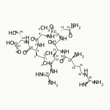 CC(C)C[C@H](NC(=O)[C@H](C)NC(=O)[C@H](CC(N)=O)NC(=O)[C@H](CCCNC(=N)N)NC(=O)[C@@H](N)CCCNC(=N)N)C(=O)N[C@@H](CO)C(=O)O